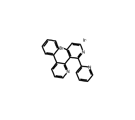 Brc1ccnc(-c2ccccn2)c1-c1ncccc1-c1ccccc1.[Ir]